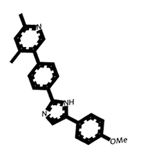 COc1ccc(-c2cnc(-c3ccc(-c4cnc(C)cc4C)cc3)[nH]2)cc1